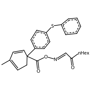 CCCCCCC(=O)C=NOC(=O)C1(c2ccc(Sc3ccccc3)cc2)C=CC(C)=CC1